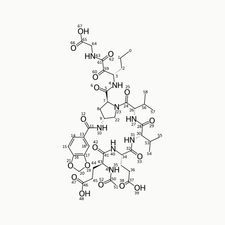 CCC[C@H](NC(=O)[C@@H]1C[C@@H](NC(=O)c2ccc3c(c2)OCO3)CN1C(=O)[C@@H](NC(=O)[C@@H](NC(=O)[C@H](CCC(=O)O)NC(=O)[C@H](CCC(=O)O)NC(C)=O)C(C)C)C(C)C)C(=O)C(=O)NCC(=O)O